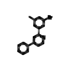 Cc1cc(Br)cc(-c2cc(-c3ccccc3)ccn2)c1